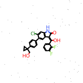 O=C1Nc2cc(Cl)c(-c3ccc(C4(CO)CC4)cc3)cc2/C1=C(/O)c1cccc(F)c1F